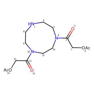 CC(=O)OCC(=O)N1CCNCCN(C(=O)COC(C)=O)CC1